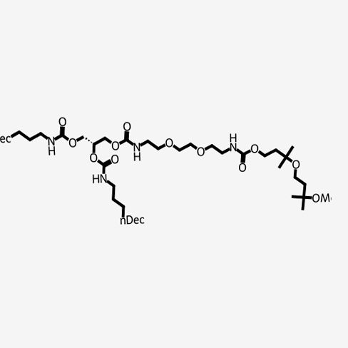 CCCCCCCCCCCCCNC(=O)OC[C@H](COC(=O)NCCOCCOCCNC(=O)OCCC(C)(C)OCCC(C)(C)OC)OC(=O)NCCCCCCCCCCCCC